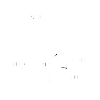 CCSC(C)[C@H]1C(=O)N2C(C(=O)O)=C(SCCNC(C)=O)C[C@H]12